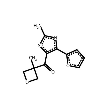 CC1(C(=O)c2sc(N)nc2-c2ccco2)COC1